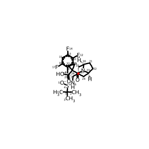 CC(C)(C)[S+]([O-])N[C@H](Cc1cc(F)c(F)cc1F)[C@@H]1C[C@H]2CC[C@@H](C1)N2C(=O)C1(C(=O)O)CC1